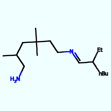 CCCCC(C=NCCC(C)(C)CC(C)CN)CC